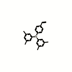 C=Cc1ccc(N(c2cc(C)cc(C)c2)c2cc(C)cc(C)c2)cc1